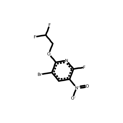 O=[N+]([O-])c1cc(Br)c(OCC(F)F)nc1F